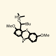 COc1ccc2c(c1)Sc1c(ccc(OC)c1C(O[SiH](C)C)C(C)(C)C)N2C